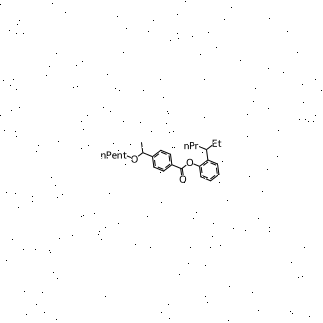 CCCCCOC(C)c1ccc(C(=O)Oc2ccccc2C(CC)CCC)cc1